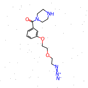 [N-]=[N+]=NCCOCCOc1cccc(C(=O)N2CCNCC2)c1